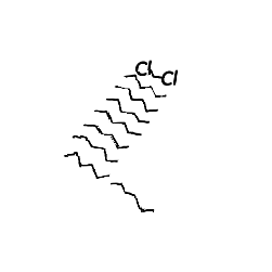 CCCCCC.CCCCCC.CCCCCC.CCCCCC.CCCCCC.CCCCCC.CCCCCC.CCCCCC.ClCCl